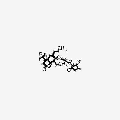 CCCc1cc2c(C(F)(F)F)cc(=O)oc2c(CC)c1OCCCCN1C(=O)CCC1=O